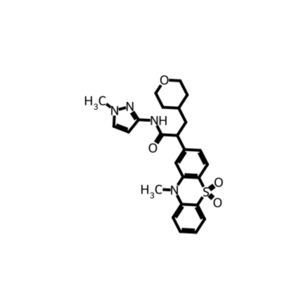 CN1c2ccccc2S(=O)(=O)c2ccc(C(CC3CCOCC3)C(=O)Nc3ccn(C)n3)cc21